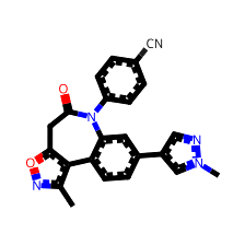 Cc1noc2c1-c1ccc(-c3cnn(C)c3)cc1N(c1ccc(C#N)cc1)C(=O)C2